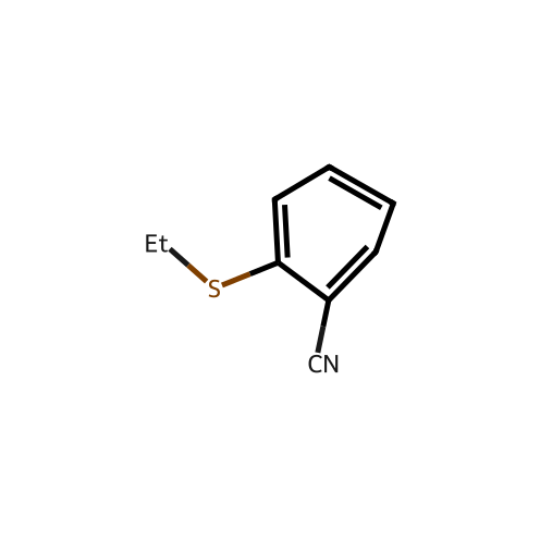 CCSc1ccccc1C#N